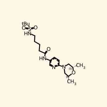 C[C@@H]1CN(c2ccc(NC(=O)CCCCNS(=O)(=O)C(C)(C)C)cn2)C[C@H](C)O1